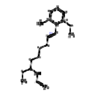 C=CNC(CC)CCCC/C=C/c1c(N)cccc1CC